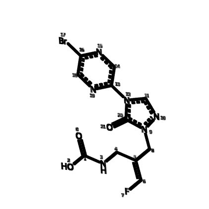 O=C(O)NC/C(=C\F)Cn1ncn(-c2cnc(Br)cn2)c1=O